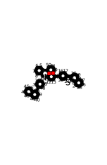 c1ccc(-c2ccccc2N(c2ccc(-c3ccc4c(c3)sc3c5ccccc5ccc43)cc2)c2ccc(-c3cccc4ccccc34)cc2)cc1